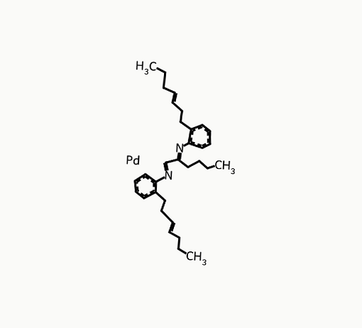 CCC/C=C/CCc1ccccc1/N=C/C(CCCC)=N/c1ccccc1CC/C=C/CCC.[Pd]